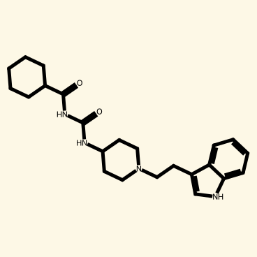 O=C(NC(=O)C1CCCCC1)NC1CCN(CCc2c[nH]c3ccccc23)CC1